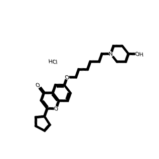 Cl.O=c1cc(C2CCCC2)oc2ccc(OCCCCCCN3CCC(O)CC3)cc12